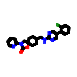 O=C1OC2(CCC(CNc3ncc(-c4ccccc4F)cn3)CC2)CN1c1ccccn1